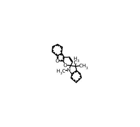 CN1c2ccccc2C(C)(C)C12C=Cc1c(oc3ccccc13)O2